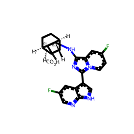 O=C(O)[C@H]1[C@H]2CC[C@H](CC2)[C@@H]1Nc1nc(-c2c[nH]c3ncc(F)cc23)n2ccc(F)cc12